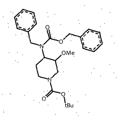 COC1CN(C(=O)OC(C)(C)C)CCC1N(Cc1ccccc1)C(=O)OCc1ccccc1